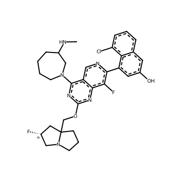 CNC1CCCCN(c2nc(OCC34CCCN3C[C@H](F)C4)nc3c(F)c(-c4cc(O)cc5cccc(Cl)c45)ncc23)C1